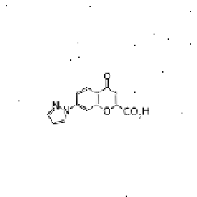 O=C(O)c1cc(=O)c2ccc(-n3cccn3)cc2o1